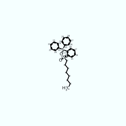 CCCCCCCCS(=O)(=O)OS(c1ccccc1)(c1ccccc1)c1ccccc1